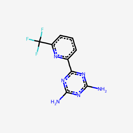 Nc1nc(N)nc(-c2cccc(C(F)(F)F)n2)n1